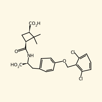 CC1(C)[C@@H](C(=O)N[C@@H](Cc2ccc(OCc3c(Cl)cccc3Cl)cc2)C(=O)O)C[C@H]1C(=O)O